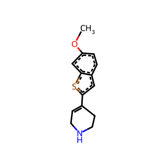 COc1ccc2cc(C3=CCNCC3)sc2c1